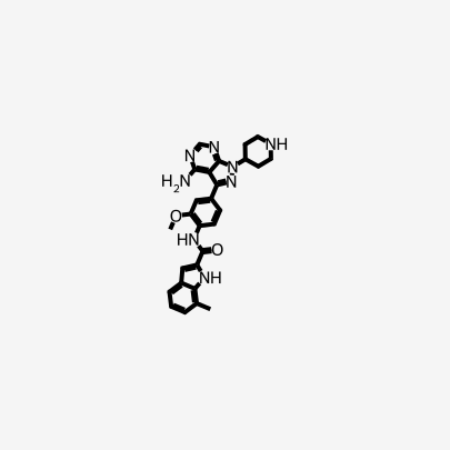 COc1cc(-c2nn(C3CCNCC3)c3ncnc(N)c23)ccc1NC(=O)c1cc2cccc(C)c2[nH]1